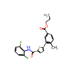 CCCOC(=O)c1ccc(C)c(-c2ccc(C(=O)Nc3c(F)cccc3F)s2)c1